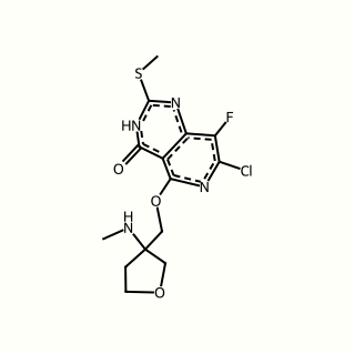 CNC1(COc2nc(Cl)c(F)c3nc(SC)[nH]c(=O)c23)CCOC1